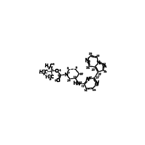 CC(C)(C)OC(=O)N1CCCC(Nc2ccnc(-c3cnn4ccncc34)n2)C1